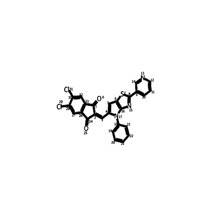 O=C1C(=Cc2cc3sc(-c4cccnc4)nc3n2-c2ccccc2)C(=O)c2cc(Cl)c(Cl)cc21